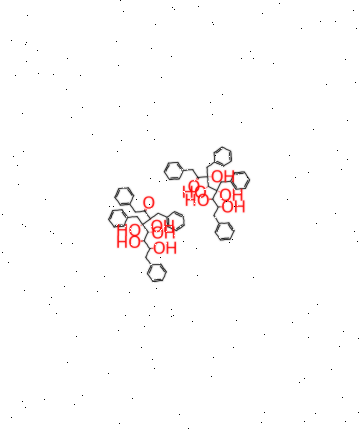 O=C(Cc1ccccc1)[C@@](O)(Cc1ccccc1)[C@@H](O)[C@@](O)(Cc1ccccc1)[C@H](O)C(O)Cc1ccccc1.O=C(Cc1ccccc1)[C@@](O)(Cc1ccccc1)[C@](O)(Cc1ccccc1)[C@H](O)[C@H](O)C(O)Cc1ccccc1